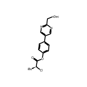 CCCCCCCCCCCc1ncc(-c2ccc(OC(=O)[C@@H](Cl)C(C)CC)cc2)cn1